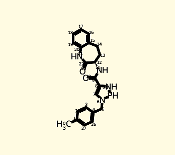 Cc1ccc(CN2C=C(C(=O)N[C@H]3CCc4ccccc4NC3=O)NP2)cc1